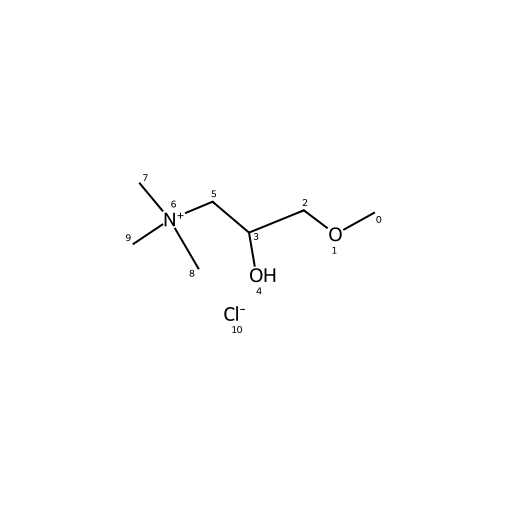 COCC(O)C[N+](C)(C)C.[Cl-]